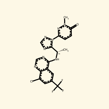 C[C@H](Nc1ncnc2c(Cl)cc(C(F)(F)F)cc12)c1ncnn1-c1ccc(=O)n(C)n1